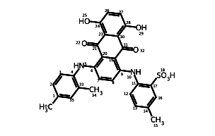 Cc1ccc(Nc2ccc(Nc3ccc(C)cc3S(=O)(=O)O)c3c2C(=O)c2c(O)ccc(O)c2C3=O)c(C)c1